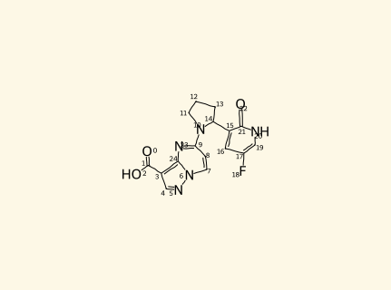 O=C(O)c1cnn2ccc(N3CCCC3c3cc(F)c[nH]c3=O)nc12